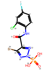 O=C(Nc1ccc(F)cc1Cl)c1nn(P(=O)(O)O)nc1Br